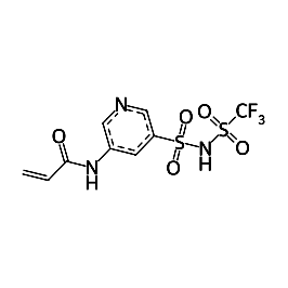 C=CC(=O)Nc1cncc(S(=O)(=O)NS(=O)(=O)C(F)(F)F)c1